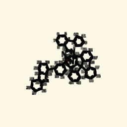 c1ccc(-c2ccccc2-c2nc(-c3cccc(-c4cccc5c4sc4ccccc45)c3)nc(-c3cccc4c3C(c3ccccc3)(c3ccccc3)c3ccccc3-4)n2)cc1